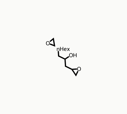 C1CO1.CCCCCCCC(O)CC1CO1